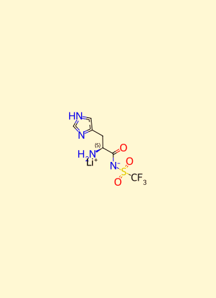 N[C@@H](Cc1c[nH]cn1)C(=O)[N-]S(=O)(=O)C(F)(F)F.[Li+]